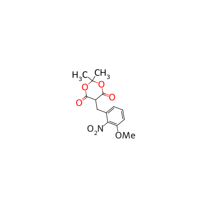 COc1cccc(CC2C(=O)OC(C)(C)OC2=O)c1[N+](=O)[O-]